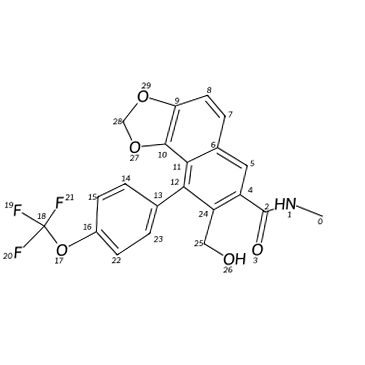 CNC(=O)c1cc2ccc3c(c2c(-c2ccc(OC(F)(F)F)cc2)c1CO)OCO3